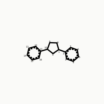 [CH]1C(c2ccccc2)CCC1c1ccccc1